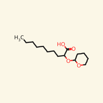 CCCCCCCCC(OC1CCCCO1)C(=O)O